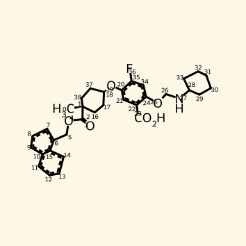 C[C@]1(C(=O)OCc2cccc3ccccc23)CC[C@@H](Oc2cc(C(=O)O)c(OCNC3CCCCC3)cc2F)CC1